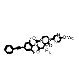 COc1cnc(N2CCN3C(=O)N(c4c(F)cc(C#Cc5ccccc5)cc4F)C(=O)CC3(C)C2=O)cn1